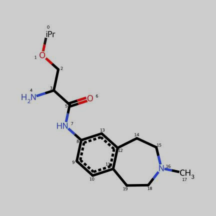 CC(C)OCC(N)C(=O)Nc1ccc2c(c1)CCN(C)CC2